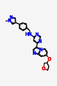 Cn1cc(-c2ccc(CNc3cc(-c4cnc5cc(OC6CCOC6)ccn45)ncn3)cc2)cn1